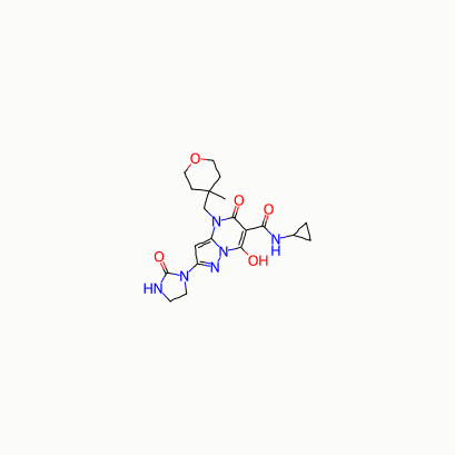 CC1(Cn2c(=O)c(C(=O)NC3CC3)c(O)n3nc(N4CCNC4=O)cc23)CCOCC1